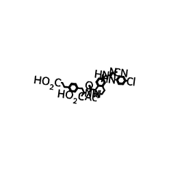 CC(=O)N1CCc2cc(NC(=NC#N)Nc3ccc(Cl)cc3)ccc2C1C(=O)NC(Cc1ccc(CCC(=O)O)cc1)C(=O)O